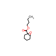 CCCCOC(=O)C12CCCCC1O2